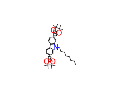 CCCCCCCCn1c2cc(B3OC(C)(C)C(C)(C)O3)ccc2c2ccc(B3OC(C)(C)C(C)(C)O3)cc21